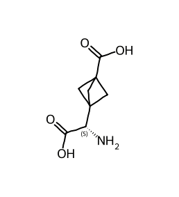 N[C@H](C(=O)O)C12CC(C(=O)O)(C1)C2